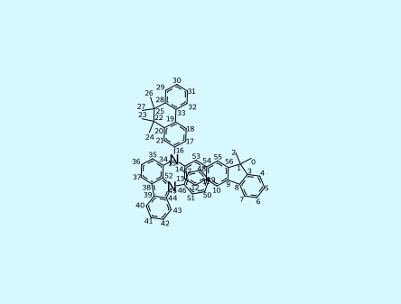 CC1(C)c2ccccc2-c2cc3ccc(N(c4ccc5c(c4)C(C)(C)C(C)(C)c4ccccc4-5)c4cccc5c6ccccc6n(-c6ccccc6)c45)cc3cc21